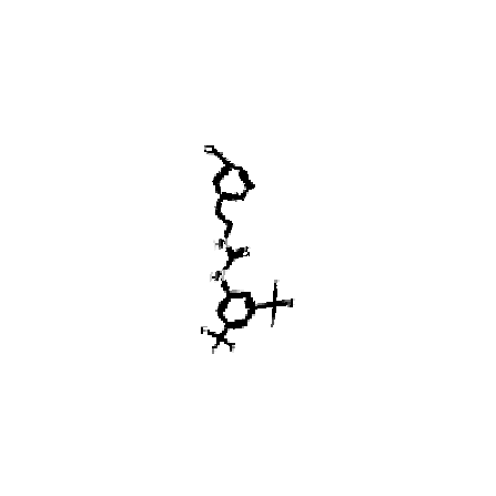 FC(F)(F)c1cc(NC(=S)NCCc2cccc(Cl)c2)cc(C(F)(F)F)c1